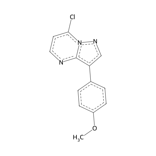 COc1ccc(-c2cnn3c(Cl)ccnc23)cc1